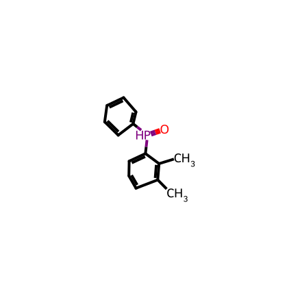 Cc1cccc([PH](=O)c2ccccc2)c1C